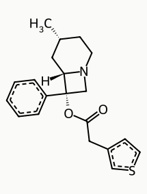 C[C@@H]1CCN2C[C@@](OC(=O)Cc3ccsc3)(c3ccccc3)[C@@H]2C1